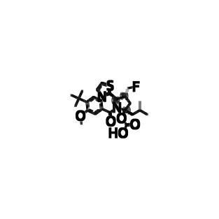 COc1cc(C(=O)N2[C@@H](c3nccs3)[C@H](CF)C[C@]2(CC(C)C)OC(=O)O)ccc1C(C)(C)C